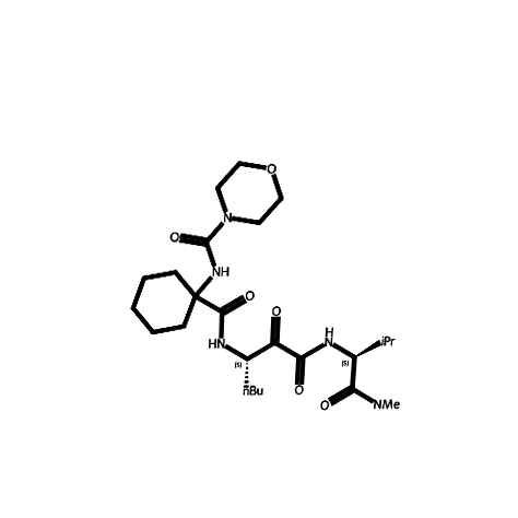 CCCC[C@H](NC(=O)C1(NC(=O)N2CCOCC2)CCCCC1)C(=O)C(=O)N[C@H](C(=O)NC)C(C)C